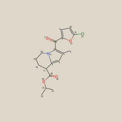 Cc1cc2n(c1C(=O)c1ccc(Cl)o1)CCCC2C(=O)OC(C)C